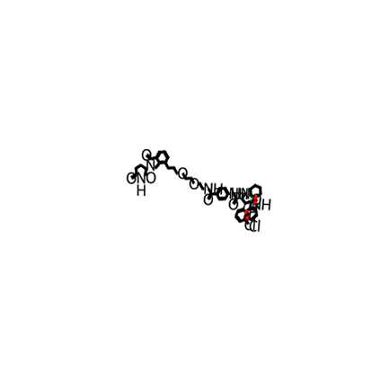 O=C1CCC(N2Cc3c(CCCOCCOCCNC(=O)c4ccc(NC(=O)[C@@H]5NC6(CCCCC6)[C@@]6(C(=O)Nc7cc(Cl)ccc76)[C@H]5c5cccc(Cl)c5F)cc4)cccc3C2=O)C(=O)N1